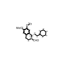 CCOc1cc2c(cc1OC)CCN(C=O)[C@H]2CCC1CCCCC1